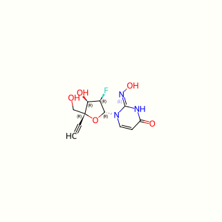 C#C[C@]1(CO)O[C@@H](n2ccc(=O)[nH]/c2=N\O)[C@H](F)[C@@H]1O